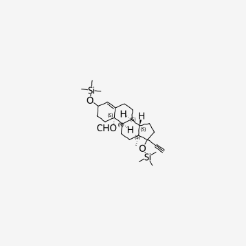 C#CC1(O[Si](C)(C)C)CC[C@H]2[C@@H]3CCC4=CC(O[Si](C)(C)C)CC[C@]4(C=O)[C@@H]3CC[C@@]21C